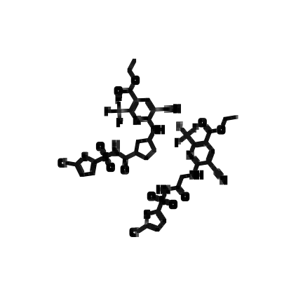 CCOC(=O)c1cc(C#N)c(NC2CCC(C(=O)NS(=O)(=O)c3ccc(Cl)s3)C2)nc1C(F)(F)F.CCOC(=O)c1cc(C#N)c(NCC(=O)NS(=O)(=O)c2ccc(Cl)s2)nc1C(F)(F)F